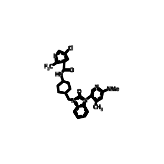 CNc1cc(C)c(-n2c(=O)n(CC3CCC(NC(=O)c4cc(Cl)cnc4C(F)(F)F)CC3)c3ccccc32)cn1